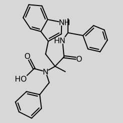 CC(NC(=O)C(C)(Cc1c[nH]c2ccccc12)N(Cc1ccccc1)C(=O)O)c1ccccc1